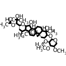 CO[C@@H]1[C@@H](OC)[C@H](O[C@H]2CC[C@]34C[C@]35CC[C@]3(C)C6C(O[C@@H]([C@H](OC(C)=O)C(C)(C)O)C[C@H]6C)[C@H](O)[C@@]3(C)[C@@H]5CC[C@H]4C2(C)C)OC[C@H]1OC